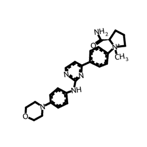 C[N+]1(c2ccc(-c3ccnc(Nc4ccc(N5CCOCC5)cc4)n3)cc2)CCC[C@@H]1C(N)=O